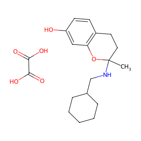 CC1(NCC2CCCCC2)CCc2ccc(O)cc2O1.O=C(O)C(=O)O